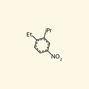 [CH2]C(C)c1cc([N+](=O)[O-])ccc1CC